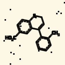 Cc1ccccc1C1=CCSc2ccc(C(=O)O)cc21